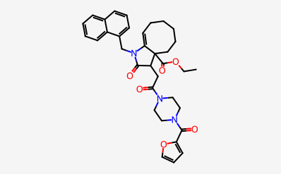 CCOC(=O)C12CCCCC/C=C\1N(Cc1cccc3ccccc13)C(=O)C2CC(=O)N1CCN(C(=O)c2ccco2)CC1